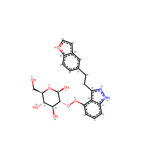 OC[C@H]1O[C@@H](O)[C@H](OOc2cccc3[nH]nc(CCc4ccc5occc5c4)c23)[C@@H](O)[C@@H]1O